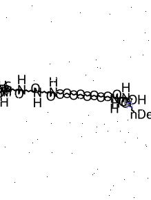 CCCCCCCCCCCCC/C=C/[C@H](O)[C@@H](CO)NC(=O)CCC(=O)NCCOCCOCCOCCOCCOCCOCCOCCOCCNC(=O)CCCCCNC(=O)CCCCCNC(=O)CCCC[C@@H]1SC[C@@H]2NC(=O)N[C@@H]21